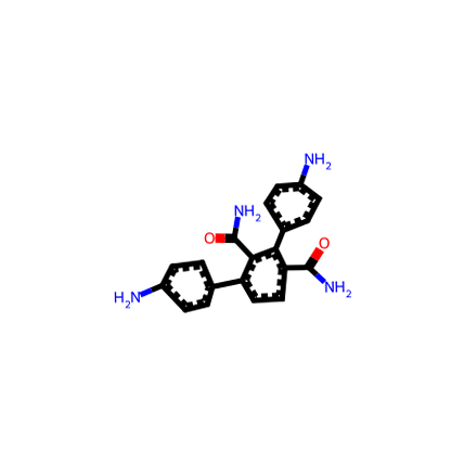 NC(=O)c1ccc(-c2ccc(N)cc2)c(C(N)=O)c1-c1ccc(N)cc1